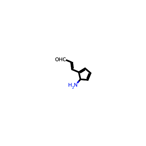 NC1C=CC=C1/C=C/C=O